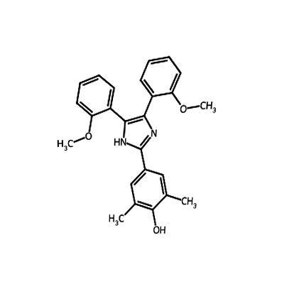 COc1ccccc1-c1nc(-c2cc(C)c(O)c(C)c2)[nH]c1-c1ccccc1OC